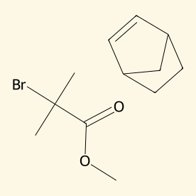 C1=CC2CCC1C2.COC(=O)C(C)(C)Br